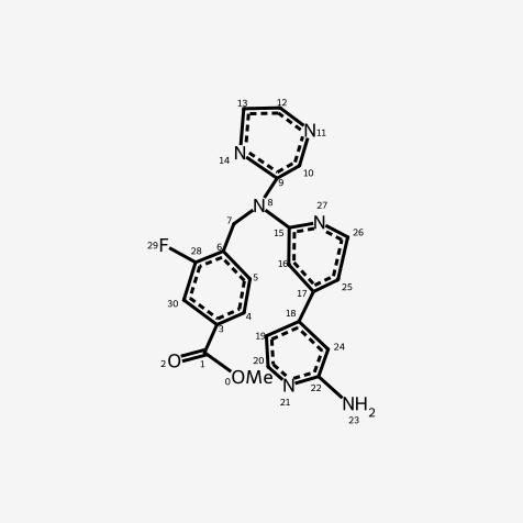 COC(=O)c1ccc(CN(c2cnccn2)c2cc(-c3ccnc(N)c3)ccn2)c(F)c1